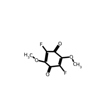 COC1=C(F)C(=O)C(OC)=C(F)C1=O